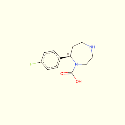 O=C(O)N1CCNCC[C@@H]1c1ccc(F)cc1